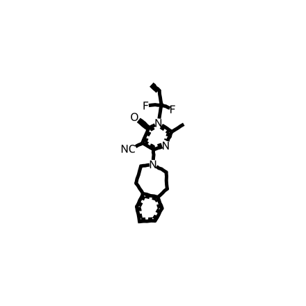 C=CC(F)(F)n1c(C)nc(N2CCc3ccccc3CC2)c(C#N)c1=O